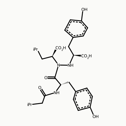 CC(C)CC(=O)N[C@@H](Cc1ccc(O)cc1)C(=O)N(N[C@@H](Cc1ccc(O)cc1)C(=O)O)[C@@H](CC(C)C)C(=O)O